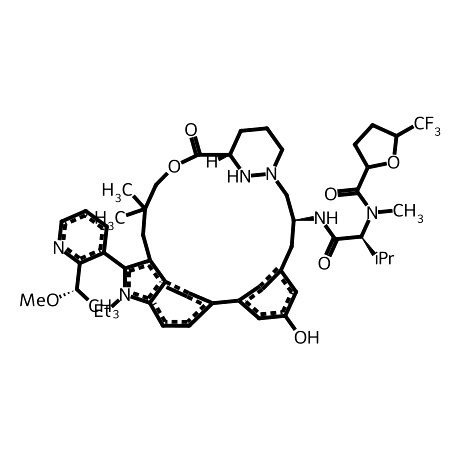 CCn1c(-c2cccnc2[C@H](C)OC)c2c3cc(ccc31)-c1cc(O)cc(c1)C[C@H](NC(=O)[C@H](C(C)C)N(C)C(=O)C1CCC(C(F)(F)F)O1)CN1CCC[C@H](N1)C(=O)OCC(C)(C)C2